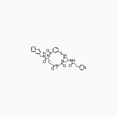 CN1CC(=O)N2C[C@H](NC(=O)CCc3ccncc3)C[C@H]2CSc2cccc(c2)C(=O)N(C)[C@H](C(=O)NCc2ccc3ccccc3c2)CCC1=O